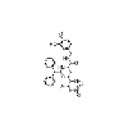 COc1ccc(CNC(=O)C(CCC(N)/C(N)=N\[N+](=O)[O-])NC(=O)C(c2ccccc2)c2ccccc2)cc1O